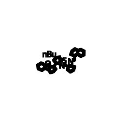 CCCCc1cc(-c2cccc3c2oc2ccccc23)c2nc(-c3ccccc3/N=C/c3cccc4ccccc34)sc2c1